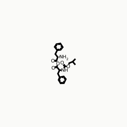 CC(C)COC(=O)NC(Cc1ccccc1)C(=O)OC(=O)[C@@H](N)Cc1ccccc1